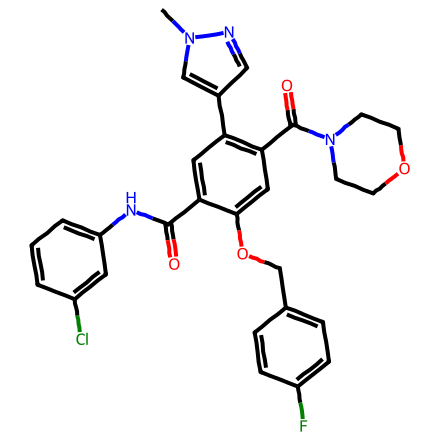 Cn1cc(-c2cc(C(=O)Nc3cccc(Cl)c3)c(OCc3ccc(F)cc3)cc2C(=O)N2CCOCC2)cn1